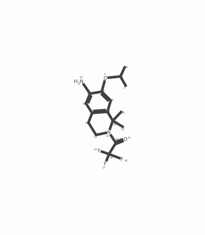 CC(C)Oc1cc2c(cc1N)CCN(C(=O)C(F)(F)F)C2(C)C